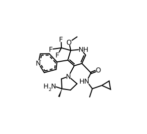 COC1(C(F)(F)F)NC=C(C(=O)NC(C)C2CC2)C(N2CC[C@](C)(N)C2)=C1c1ccncc1